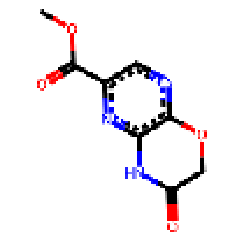 COC(=O)c1cnc2c(n1)NC(=O)CO2